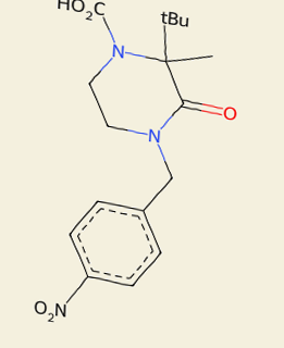 CC(C)(C)C1(C)C(=O)N(Cc2ccc([N+](=O)[O-])cc2)CCN1C(=O)O